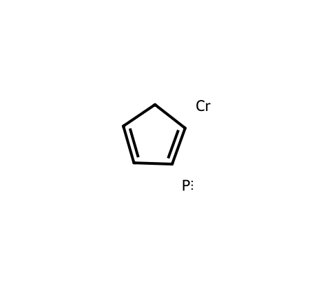 C1=CCC=C1.[Cr].[P]